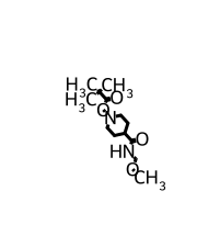 COCNC(=O)C1CCN(OC(=O)C(C)(C)C)CC1